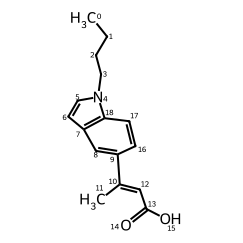 CCCCn1ccc2cc(/C(C)=C/C(=O)O)ccc21